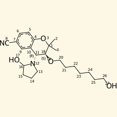 CC1(C)Oc2ccc(C#N)cc2[C@@H](N2CCCC2O)[C@@H]1OCCCCCCCO